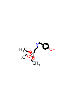 CCO[Si](CCC/N=C\c1ccc(O)cc1)(OCC)OCC